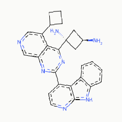 N[C@H]1C[C@@](N)(c2nc(-c3ccnc4[nH]c5ccccc5c34)nc3cncc(C4CCC4)c32)C1